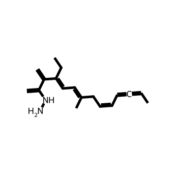 C=C(NN)C(=C)/C(=C/C=C(\C)C/C=C\C=C=CC)CC